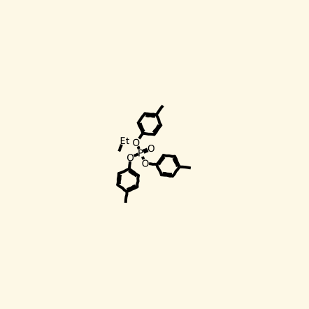 CCC.Cc1ccc(OP(=O)(Oc2ccc(C)cc2)Oc2ccc(C)cc2)cc1